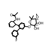 CO[C@@H]1[C@@H](O)[C@@H](O)C(Oc2ccc(C3CC=CCC3NC(C)=O)c(-c3cccc(F)c3)c2)OC1(C)C